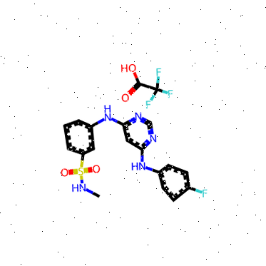 CNS(=O)(=O)c1cccc(Nc2cc(Nc3ccc(F)cc3)ncn2)c1.O=C(O)C(F)(F)F